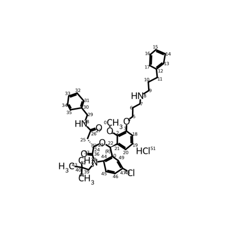 COc1c(OCCCNCCCc2ccccc2)cccc1[C@@H]1O[C@@H](CC(=O)NCc2ccccc2)C(=O)N(CC(C)(C)C)c2ccc(Cl)cc21.Cl